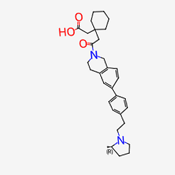 C[C@@H]1CCCN1CCc1ccc(-c2ccc3c(c2)CCN(C(=O)CC2(CC(=O)O)CCCCC2)C3)cc1